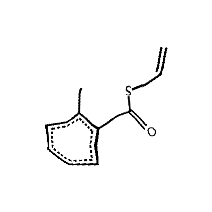 C=CSC(=O)c1ccccc1C